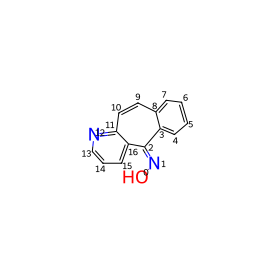 ON=c1c2ccccc2ccc2ncccc12